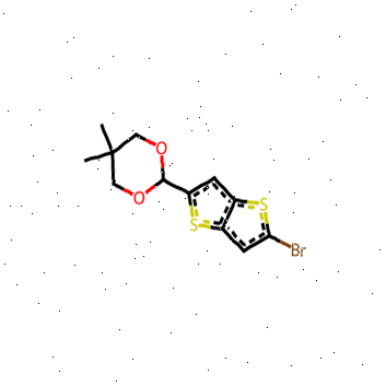 CC1(C)COC(c2cc3sc(Br)cc3s2)OC1